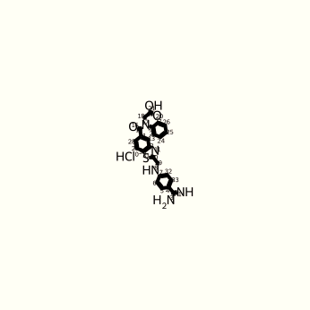 Cl.N=C(N)c1ccc(NCc2nc3cc(C(=O)N(CC(=O)O)c4ccccc4)ccc3s2)cc1